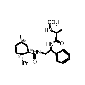 CC(NC(=O)O)C(=O)NC(CNC(=O)[C@@H]1C[C@H](C)CC[C@H]1C(C)C)c1ccccc1